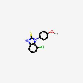 CCOc1ccc(-n2c(=S)[nH]c3cccc(Cl)c32)cc1